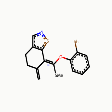 C=C1CCc2cnsc2/C1=C(\Oc1ccccc1S)SC